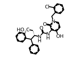 O=C(O)C[C@H](NC(=O)Nc1c(O)ccn(Cc2ccccc2Cl)c1=O)C(c1ccccc1)c1ccccc1